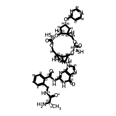 C[C@H](N)C(=O)NCc1ccccc1C(=O)Nc1nc2c(ncn2[C@@H]2O[C@@H]3CO[P@@](=O)(S)O[C@H]4C[C@H](Oc5ccncn5)C[C@@H]4CO[P@@](=O)(S)O[C@@H]2[C@@H]3O)c(=O)[nH]1